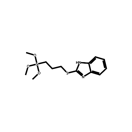 CO[Si](CCCSc1nc2ccccc2[nH]1)(OC)OC